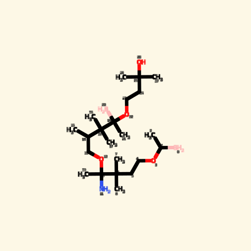 BC(C)OCCC(C)(C)C(C)(N)OCC(C)C(C)(C)C(B)(C)OCCC(C)(C)O